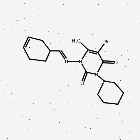 Cc1c(Br)c(=O)n(C2CCCCC2)c(=O)n1/N=C/C1CC=CCC1